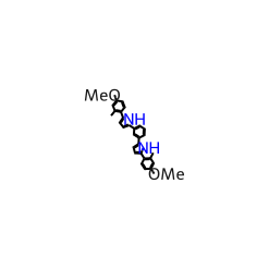 COc1ccc(-c2ccc(-c3cccc(-c4ccc(-c5ccc(OC)cc5C)[nH]4)c3)[nH]2)c(C)c1